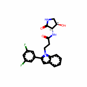 O=C(CCn1c(-c2cc(F)cc(F)c2)cc2ccccc21)N[C@@H]1C(=O)NC[C@H]1O